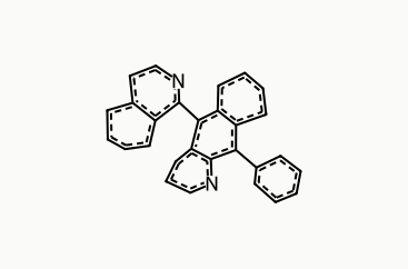 c1ccc(-c2c3ccccc3c(-c3nccc4ccccc34)c3cccnc23)cc1